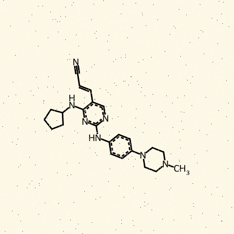 CN1CCN(c2ccc(Nc3ncc(/C=C/C#N)c(NC4CCCC4)n3)cc2)CC1